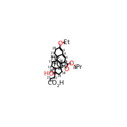 CCOC1=CC2=C[C@@H](C(=O)OC(C)C)[C@@H]3[C@H](CC[C@@]4(C)[C@H]3CC[C@@]4(O)CCC(=O)O)[C@@]2(C)CC1